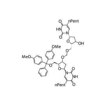 CCCCCc1cn([C@@H]2CC(O)[C@H](COCOC3C[C@@H](n4cc(CCCCC)c(=O)[nH]c4=O)O[C@H]3COC(c3ccccc3)(c3ccc(OC)cc3)c3ccc(OC)cc3)O2)c(=O)[nH]c1=O